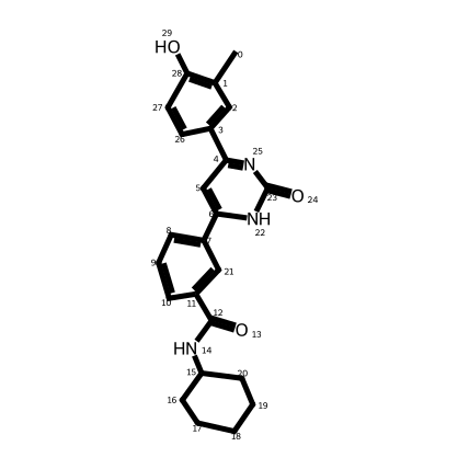 Cc1cc(-c2cc(-c3cccc(C(=O)NC4CCCCC4)c3)[nH]c(=O)n2)ccc1O